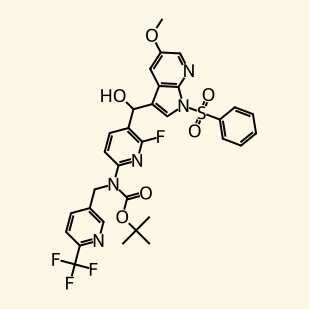 COc1cnc2c(c1)c(C(O)c1ccc(N(Cc3ccc(C(F)(F)F)nc3)C(=O)OC(C)(C)C)nc1F)cn2S(=O)(=O)c1ccccc1